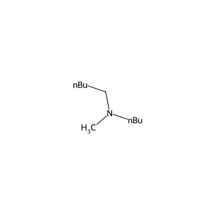 CCCCCN(C)CCCC